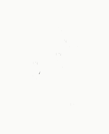 N[C@@H](CCC(=O)N[C@@H](CSCCCCCO)C(=O)NCC(=O)O)C(=O)O